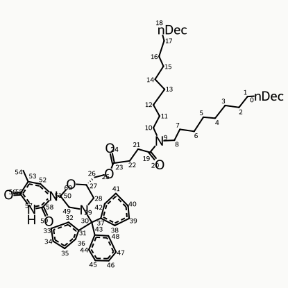 CCCCCCCCCCCCCCCCCCN(CCCCCCCCCCCCCCCCCC)C(=O)CCC(=O)OC[C@@H]1CN(C(c2ccccc2)(c2ccccc2)c2ccccc2)C[C@H](n2cc(C)c(=O)[nH]c2=O)O1